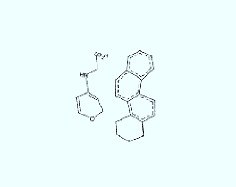 O=C(O)CNC1=CCOC=C1.c1ccc2c(c1)ccc1c3c(ccc12)CCCC3